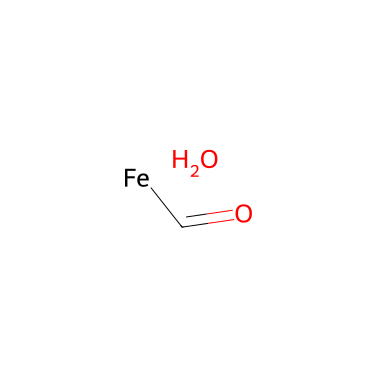 O.O=[CH][Fe]